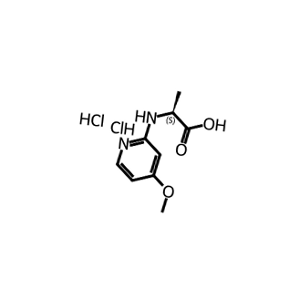 COc1ccnc(N[C@@H](C)C(=O)O)c1.Cl.Cl